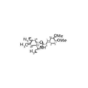 COc1ccc(/C=C/C(=O)NC(C)c2ccc(C)c(C)c2)cc1OC